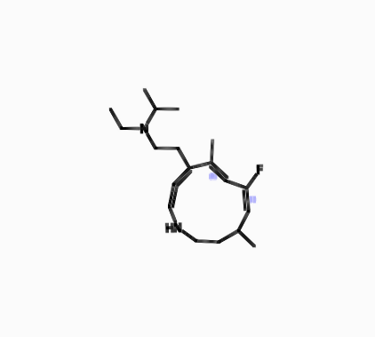 CCN(CCC1=C=CNCCC(C)/C=C(F)\C=C\1C)C(C)C